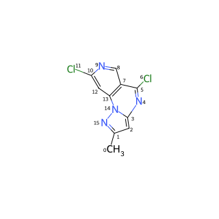 Cc1cc2nc(Cl)c3cnc(Cl)cc3n2n1